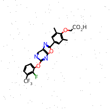 Cc1cc(-c2nc3cnc(Oc4cccc(C(F)(F)F)c4F)nc3o2)cc(C)c1OCC(=O)O